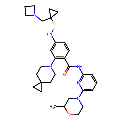 CC1CN(c2cccc(NC(=O)c3ccc(NSC4(CN5CCC5)CC4)cc3N3CCC4(CC3)CC4)n2)CCO1